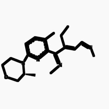 CCC(=C\C=N/C)/C(=N/C)c1nc(N2CCOC[C@H]2C)ccc1C